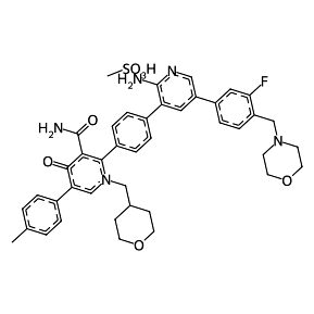 CS(=O)(=O)O.Cc1ccc(-c2cn(CC3CCOCC3)c(-c3ccc(-c4cc(-c5ccc(CN6CCOCC6)c(F)c5)cnc4N)cc3)c(C(N)=O)c2=O)cc1